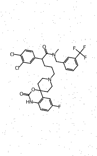 CN(Cc1cccc(C(F)(F)F)c1)C(=O)C(CCCN1CCC2(CC1)OC(=O)Nc1ccc(F)cc12)c1ccc(Cl)c(Cl)c1